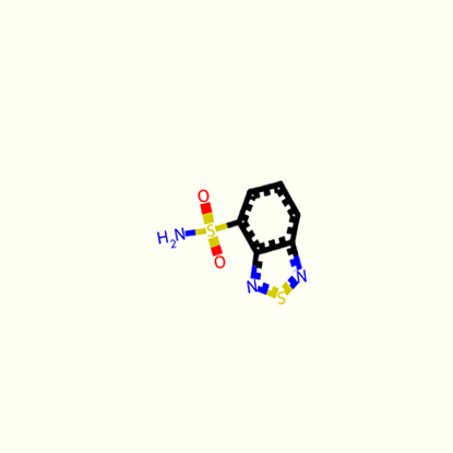 NS(=O)(=O)c1cccc2nsnc12